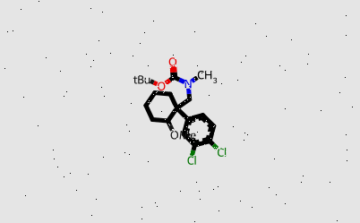 COC1CCCCC1(CN(C)C(=O)OC(C)(C)C)c1ccc(Cl)c(Cl)c1